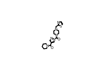 O=C(c1cnn(C(=O)N2CCN(Cc3nccs3)CC2)c1)N1CCCCC1